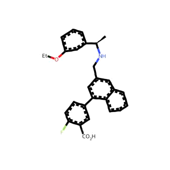 CCOc1cccc([C@@H](C)NCc2cc(-c3ccc(F)c(C(=O)O)c3)c3ccccc3c2)c1